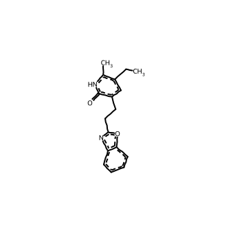 CCc1cc(CCc2nc3ccccc3o2)c(=O)[nH]c1C